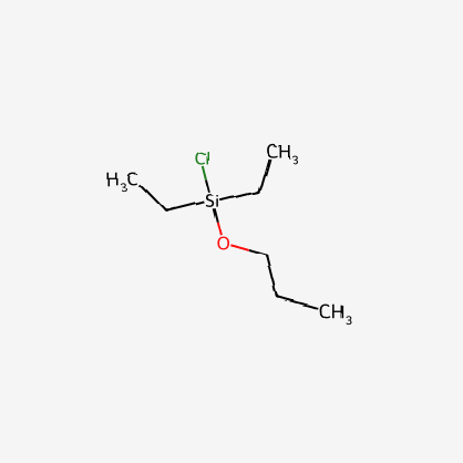 CCCO[Si](Cl)(CC)CC